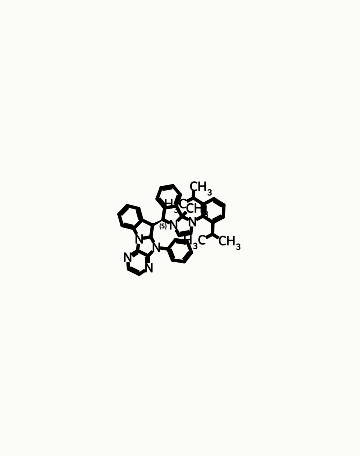 CC(C)c1cccc(C(C)C)c1N1C=CN2[C@@H](C3c4ccccc4N4c5nccnc5N(c5ccccc5)C34)c3ccccc3C12C